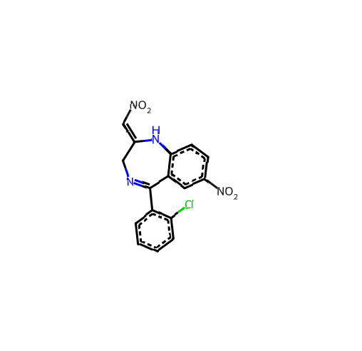 O=[N+]([O-])/C=C1/CN=C(c2ccccc2Cl)c2cc([N+](=O)[O-])ccc2N1